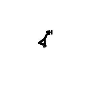 SC1CS1